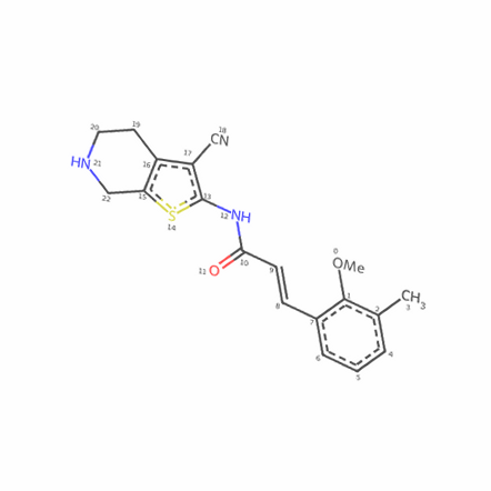 COc1c(C)cccc1C=CC(=O)Nc1sc2c(c1C#N)CCNC2